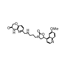 COc1ccc2nccc(C3CN(CCCNCc4ccc5c(n4)NC(=O)CO5)C(=O)O3)c2c1